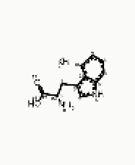 N[C@@H](Cc1c[nH]c2ccccc12)C(=O)O.[KH]